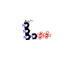 O=S(=O)([O-])OOS(=O)(=O)[O-].[Ag+2].c1ccncc1.c1ccncc1.c1ccncc1.c1ccncc1